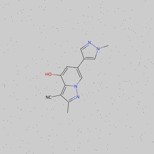 Cc1nn2cc(-c3cnn(C)c3)cc(O)c2c1C#N